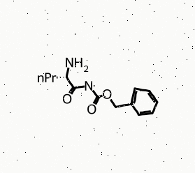 CCC[C@H](N)C(=O)[N]C(=O)OCc1ccccc1